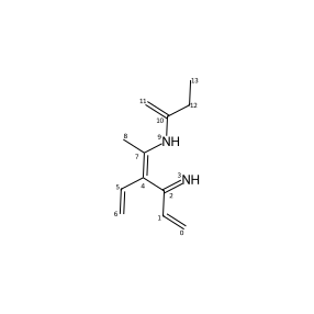 C=CC(=N)/C(C=C)=C(/C)NC(=C)CC